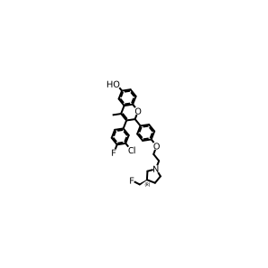 CC1=C(c2ccc(F)c(Cl)c2)C(c2ccc(OCCN3CC[C@@H](CF)C3)cc2)Oc2ccc(O)cc21